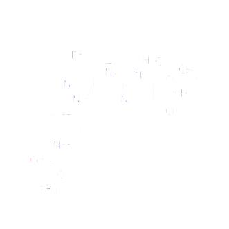 CCc1nn(C2CCN(C(=O)OC(C)(C)C)CC2)cc1Nc1ncc(C(F)(F)F)[c]([Sn]([CH3])([CH3])[CH3])n1